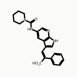 O=C(O)C(=Cc1c[nH]c2ncc(NC(=O)N3CCCCC3)cc12)c1ccccc1